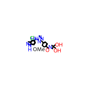 COC1CC(c2nc(Nc3ccc4[nH]ncc4c3Cl)n(C)n2)=CC=C1C(=O)N1CC(CO)(CO)C1